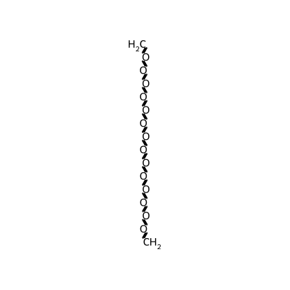 C=CCOCCOCCOCCOCCOCCOCCOCCOCCOCCOCCOCCOCCOCCOCC=C